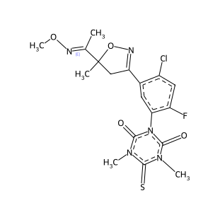 CO/N=C(\C)C1(C)CC(c2cc(-n3c(=O)n(C)c(=S)n(C)c3=O)c(F)cc2Cl)=NO1